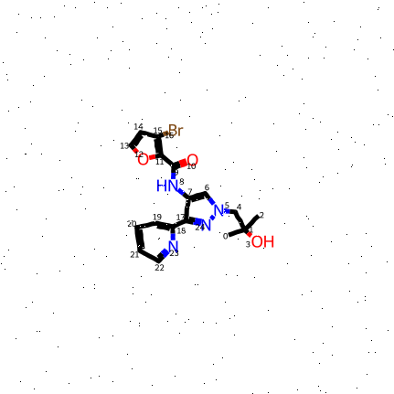 CC(C)(O)Cn1cc(NC(=O)c2occc2Br)c(-c2ccccn2)n1